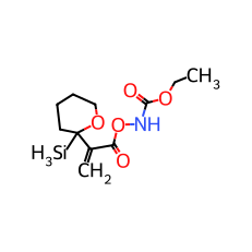 C=C(C(=O)ONC(=O)OCC)C1([SiH3])CCCCO1